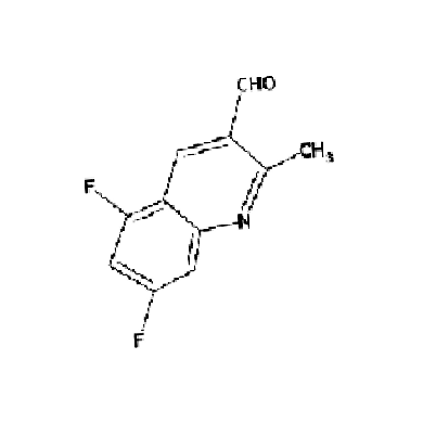 Cc1nc2cc(F)cc(F)c2cc1C=O